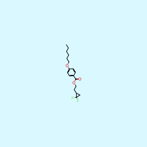 CCCCCCOc1ccc(C(=O)OCCC2CC2(F)F)cc1